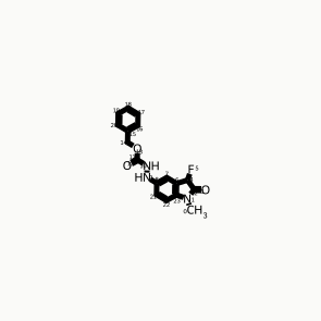 CN1C(=O)C(F)c2cc(NNC(=O)OCc3ccccc3)ccc21